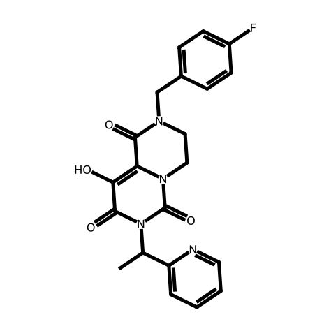 CC(c1ccccn1)n1c(=O)c(O)c2n(c1=O)CCN(Cc1ccc(F)cc1)C2=O